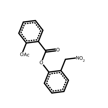 CC(=O)Oc1ccccc1C(=O)Oc1ccccc1C[N+](=O)[O-]